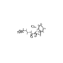 CCCCCCCCCCCCCC(=O)[N+](C)(C)Cc1ccccc1.[Cl-]